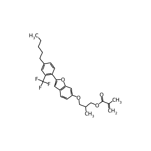 C=C(C)C(=O)OCC(C)COc1ccc2cc(-c3ccc(CCCCC)cc3C(F)(F)F)oc2c1